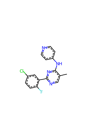 Cc1cnc(-c2cc(Cl)ccc2F)nc1Nc1ccncc1